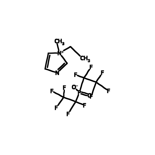 CC[N+]1(C)C=CN=C1.O=P([O-])(C(F)(F)C(F)(F)F)C(F)(F)C(F)(F)F